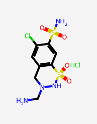 Cl.NCN1Cc2cc(Cl)c(S(N)(=O)=O)cc2S(=O)(=O)N1